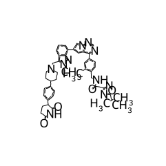 Cc1cc(-c2ncnn3cc(-c4cccc5c(CN6CCC(c7ccc(C8CCC(=O)NC8=O)cc7)CC6)n(C)nc45)cc23)ccc1CNC(=O)c1noc(C(C)(C)C)n1